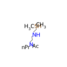 CCCN(CCCNCC[SH](C)C)C(C)=O